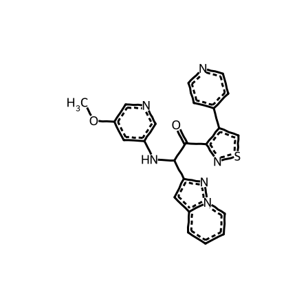 COc1cncc(NC(C(=O)c2nscc2-c2ccncc2)c2cc3ccccn3n2)c1